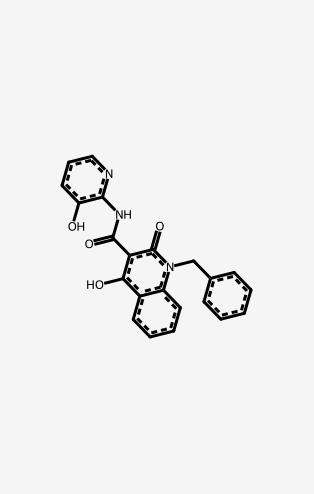 O=C(Nc1ncccc1O)c1c(O)c2ccccc2n(Cc2ccccc2)c1=O